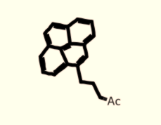 CC(=O)CCCc1cc2cccc3ccc4cccc1c4c32